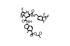 CC(=O)COC(=O)c1ccc2c(c1C)CC[C@@H]2NC(=O)c1cc(C(=O)NCc2ccc(F)c(C(F)(F)F)c2)nc2c(F)cnn12